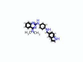 CN(C)c1nc(N[C@H]2CC[C@@H](NCc3ccc4[nH]ccc4c3)CC2)nc2ccccc12